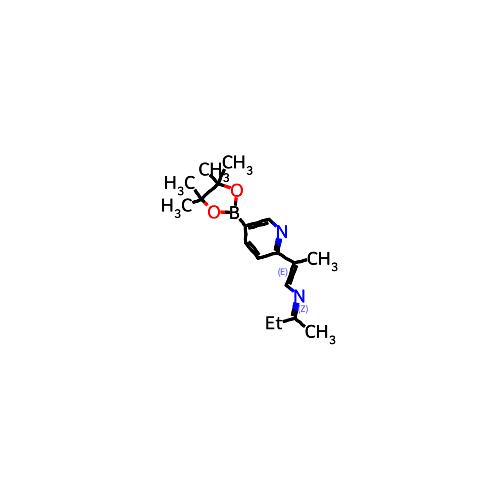 CC/C(C)=N\C=C(/C)c1ccc(B2OC(C)(C)C(C)(C)O2)cn1